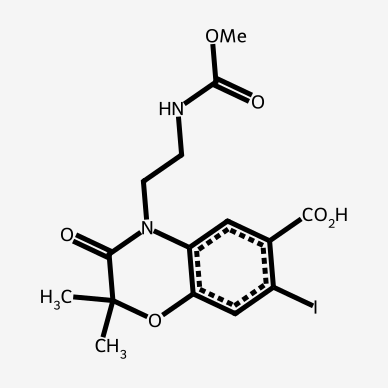 COC(=O)NCCN1C(=O)C(C)(C)Oc2cc(I)c(C(=O)O)cc21